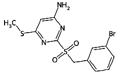 CSc1cc(N)nc(S(=O)(=O)Cc2cccc(Br)c2)n1